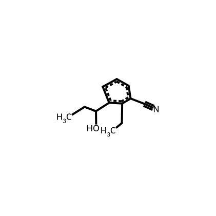 CC[C](O)c1cccc(C#N)c1CC